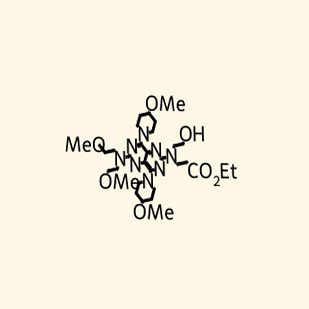 CCOC(=O)CCN(CCO)c1nc(N2CCC(OC)CC2)c2nc(N(CCOC)CCOC)nc(N3CCC(OC)CC3)c2n1